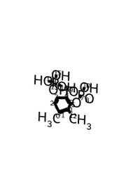 Cc1cccc(OP(=O)(O)O)c1C.O=P(O)(O)O